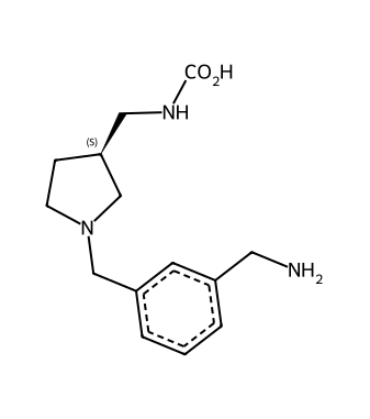 NCc1cccc(CN2CC[C@@H](CNC(=O)O)C2)c1